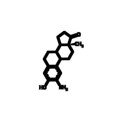 C[C@]12CCC3c4cc(N)c(O)cc4CCC3C1CCC2=O